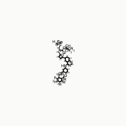 [2H]c1c([2H])c(F)c([2H])c(C([2H])([2H])Oc2ccc(Nc3ncnc4ccc(-c5ccc(CN(CCS(C)(=O)=O)C(=O)OC(C)(C)C)o5)cc34)cc2Cl)c1[2H]